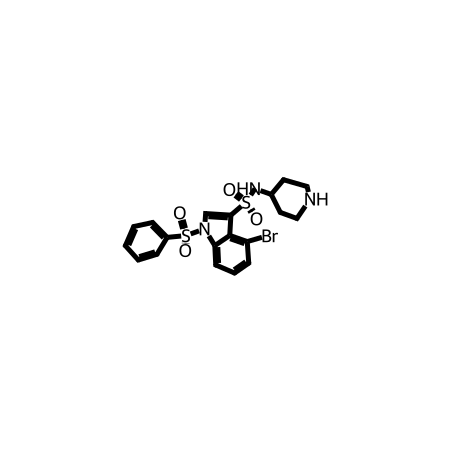 O=S(=O)(NC1CCNCC1)c1cn(S(=O)(=O)c2ccccc2)c2cccc(Br)c12